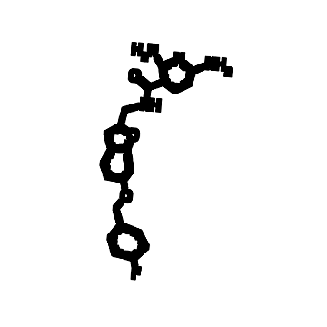 Nc1ccc(C(=O)NCc2cc3ccc(OCc4ccc(F)cc4)cc3o2)c(N)n1